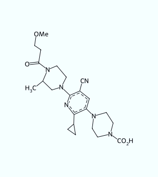 COCCC(=O)N1CCN(c2nc(C3CC3)c(N3CCN(C(=O)O)CC3)cc2C#N)CC1C